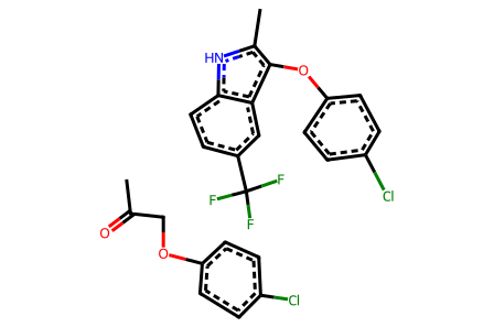 CC(=O)COc1ccc(Cl)cc1.Cc1[nH]c2ccc(C(F)(F)F)cc2c1Oc1ccc(Cl)cc1